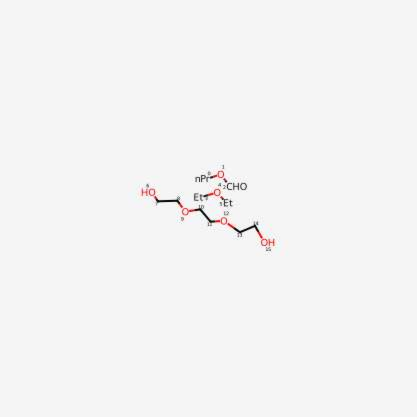 CCCOC=O.CCOCC.OCCOCCOCCO